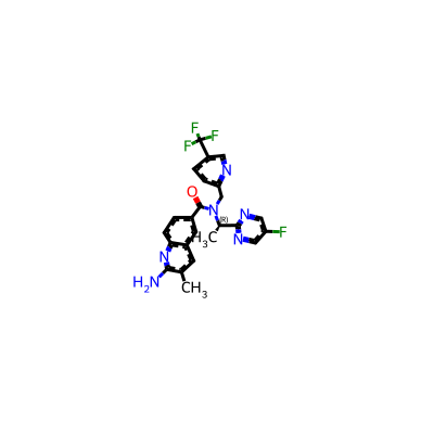 Cc1cc2cc(C(=O)N(Cc3ccc(C(F)(F)F)cn3)[C@H](C)c3ncc(F)cn3)ccc2nc1N